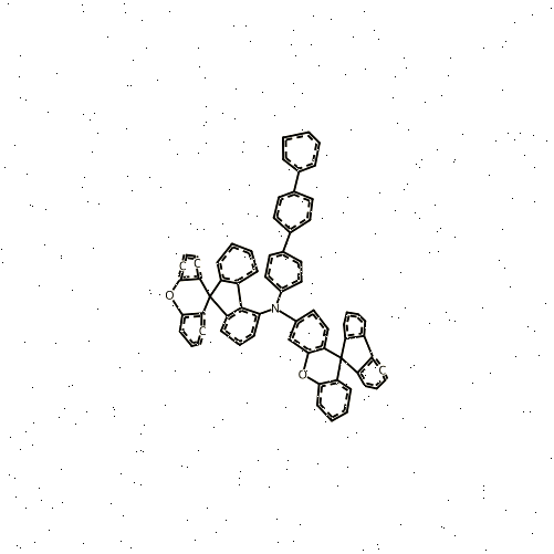 c1ccc(-c2ccc(-c3ccc(N(c4ccc5c(c4)Oc4ccccc4C54c5ccccc5-c5ccccc54)c4cccc5c4-c4ccccc4C54c5ccccc5Oc5ccccc54)cc3)cc2)cc1